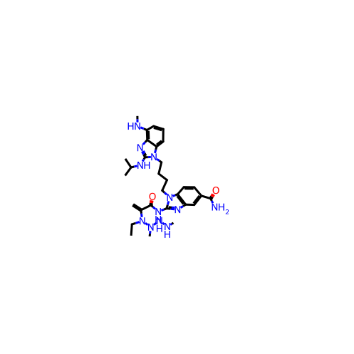 C=C(C(=O)Nc1nc2cc(C(N)=O)ccc2n1CCCCn1c(NC(C)C)nc2c(NC)cccc21)N(CC)N(C)NNC